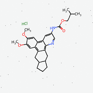 COc1cc2c3c(c4ncc(NC(=O)OCC(C)C)cc4c2cc1OC)CC1CCCC1C3.Cl